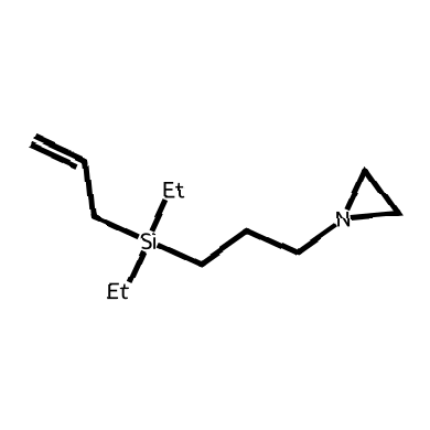 C=CC[Si](CC)(CC)CCCN1CC1